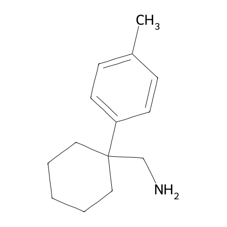 Cc1ccc(C2(CN)CCCCC2)cc1